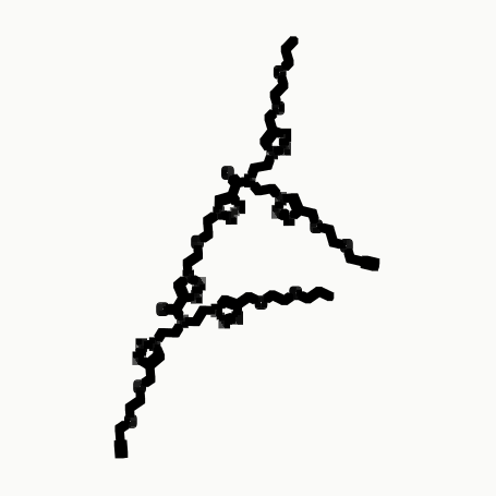 C#CCOCCOCc1cn(CCN(CCn2cc(COCCOCCC)nn2)C(=O)c2cn(CCOCCn3cc(C(=O)N(CCn4cc(COCCOCC#C)nn4)CCn4cc(COCCOCCC)nn4)nn3)nn2)nn1